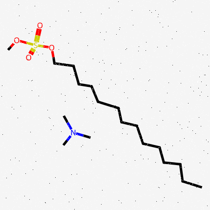 CCCCCCCCCCCCCCOS(=O)(=O)OC.CN(C)C